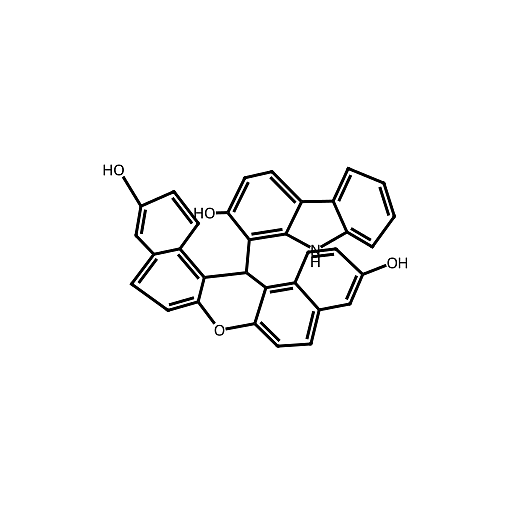 Oc1ccc2c3c(ccc2c1)Oc1ccc2cc(O)ccc2c1C3c1c(O)ccc2c1[nH]c1ccccc12